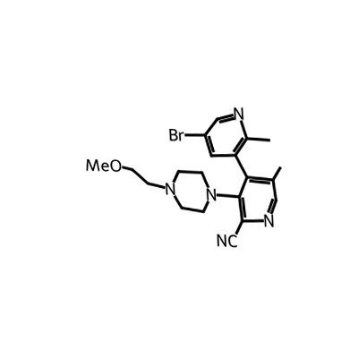 COCCN1CCN(c2c(C#N)ncc(C)c2-c2cc(Br)cnc2C)CC1